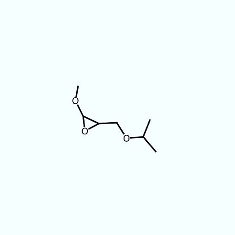 COC1OC1COC(C)C